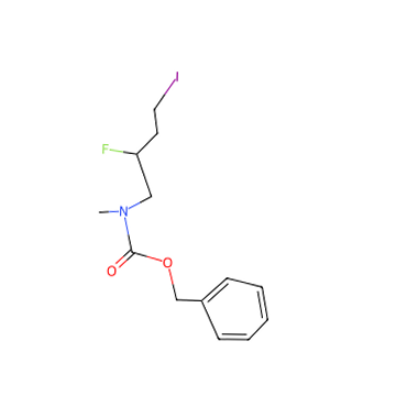 CN(CC(F)CCI)C(=O)OCc1ccccc1